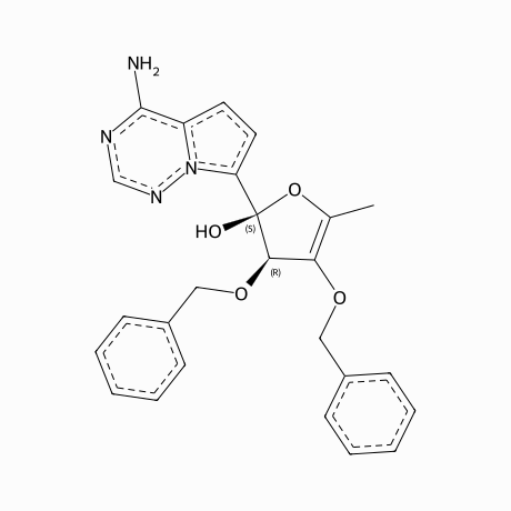 CC1=C(OCc2ccccc2)[C@@H](OCc2ccccc2)[C@](O)(c2ccc3c(N)ncnn23)O1